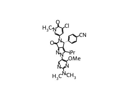 COc1nc(N(C)C)ncc1-n1nc2c(c1C(C)C)[C@@H](c1ccc(C#N)cc1)N(c1cc(Cl)c(=O)n(C)c1)C2=O